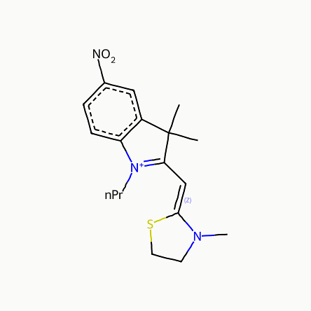 CCC[N+]1=C(/C=C2\SCCN2C)C(C)(C)c2cc([N+](=O)[O-])ccc21